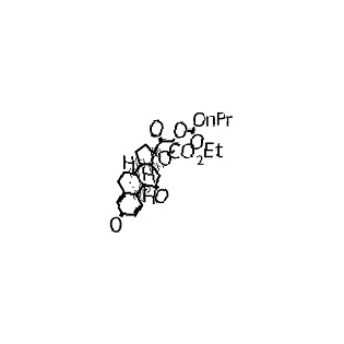 CCCOC(=O)OCC(=O)[C@@]1(OC(=O)OCC)CC[C@H]2[C@@H]3CCC4=CC(=O)C=C[C@]4(C)[C@H]3C(=O)C[C@@]21C